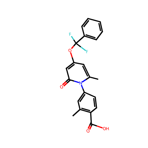 Cc1cc(-n2c(C)cc(OC(F)(F)c3ccccc3)cc2=O)ccc1C(=O)O